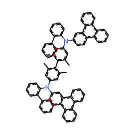 Cc1cc(N(c2ccc3c4ccccc4c4ccccc4c3c2)c2ccccc2-c2ccccc2)cc(C)c1-c1c(C)cc(N(c2ccc3c4ccccc4c4ccccc4c3c2)c2ccccc2-c2ccccc2)cc1C